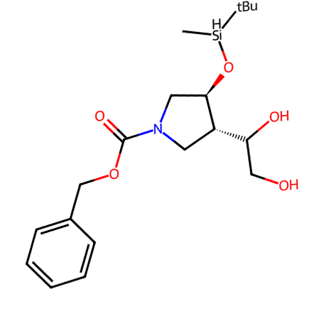 C[SiH](O[C@@H]1CN(C(=O)OCc2ccccc2)C[C@H]1C(O)CO)C(C)(C)C